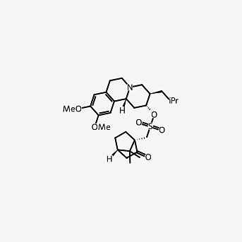 COc1cc2c(cc1OC)[C@H]1C[C@@H](OS(=O)(=O)C[C@]34CC[C@@H](CC3=O)C4(C)C)[C@H](CC(C)C)CN1CC2